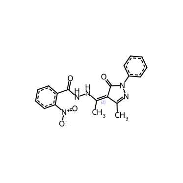 CC1=NN(c2ccccc2)C(=O)/C1=C(/C)NNC(=O)c1ccccc1[N+](=O)[O-]